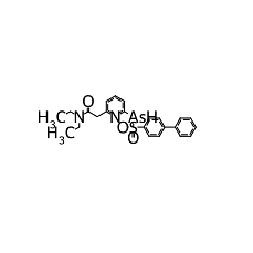 CCN(CC)C(=O)Cc1cccc([AsH]S(=O)(=O)c2ccc(-c3ccccc3)cc2)n1